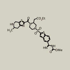 CCOC(=O)CC1CN(S(=O)(=O)c2cc3cc(C(=N)NC(=O)OC)ccc3s2)CCN1C(=O)c1nc2c(s1)CNC(C)C2